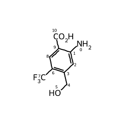 Nc1cc(CO)c(C(F)(F)F)cc1C(=O)O